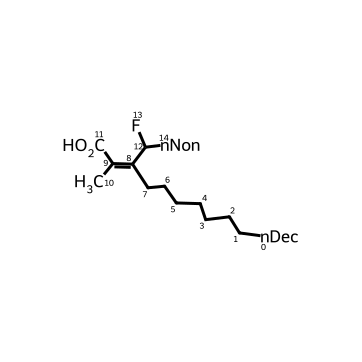 CCCCCCCCCCCCCCCCC/C(=C(\C)C(=O)O)C(F)CCCCCCCCC